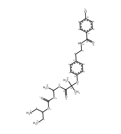 CCC(CN)OC(=O)OC(C)OC(=O)C(C)(C)Oc1ccc(CCNC(=O)c2ccc(Cl)cc2)cc1